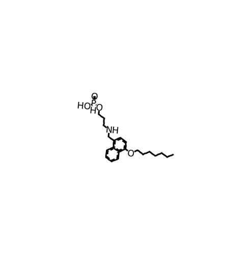 CCCCCCCOc1ccc(CNCCCO[PH](=O)O)c2ccccc12